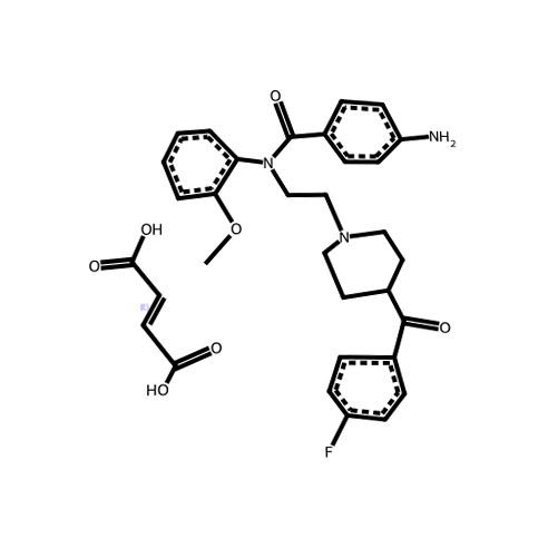 COc1ccccc1N(CCN1CCC(C(=O)c2ccc(F)cc2)CC1)C(=O)c1ccc(N)cc1.O=C(O)/C=C/C(=O)O